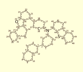 c1cc(-c2ccc3ccccc3c2)cc(N(c2ccc(-c3cccc4oc5c6ccccc6ccc5c34)cc2)c2cccc3c2sc2ccccc23)c1